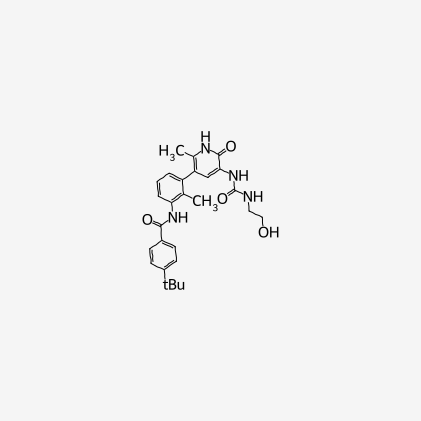 Cc1[nH]c(=O)c(NC(=O)NCCO)cc1-c1cccc(NC(=O)c2ccc(C(C)(C)C)cc2)c1C